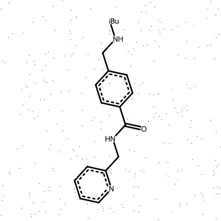 CCC(C)NCc1ccc(C(=O)NCc2ccccn2)cc1